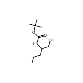 CCCC(CO)NC(=O)OC(C)(C)C